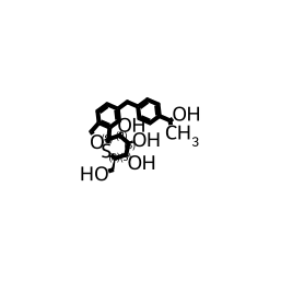 CC(O)c1ccc(Cc2ccc3c(c2)[C@]2(OC3)S[C@H](CO)[C@@H](O)[C@H](O)[C@H]2O)cc1